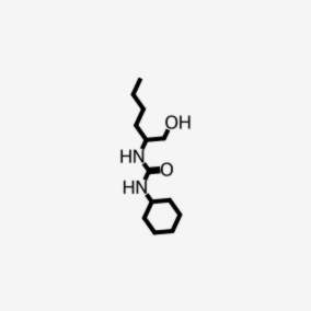 CCCCC(CO)NC(=O)NC1CCCCC1